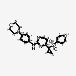 O=S(=O)(c1ccncc1)C1(c2ccnc(Nc3ccc(N4CCOCC4)cc3)n2)CC1